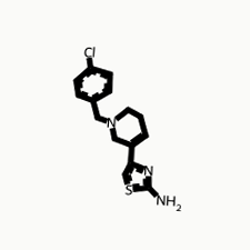 Nc1nc(C2=CCCN(Cc3ccc(Cl)cc3)C2)cs1